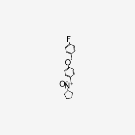 [O-][N+](=Cc1ccc(OCc2ccc(F)cc2)cc1)C1CCCC1